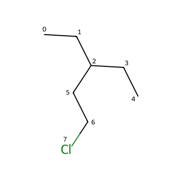 CCC(CC)CCCl